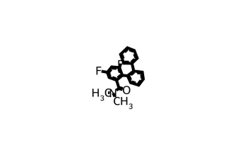 CN(C)C(=O)c1cc(F)cc(F)c1-c1ccccc1-c1ccccc1